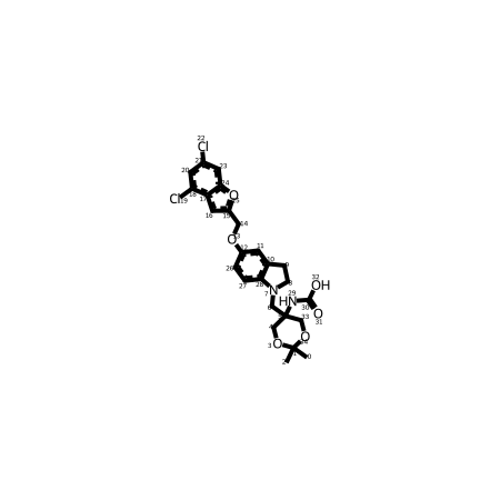 CC1(C)OCC(CN2CCc3cc(OCc4cc5c(Cl)cc(Cl)cc5o4)ccc32)(NC(=O)O)CO1